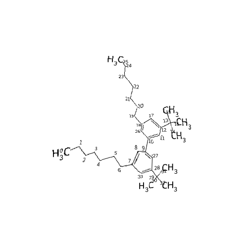 CCCCCCCc1cc(-c2[c]c(C(C)(C)C)cc(CCCCCCC)c2)[c]c(C(C)(C)C)c1